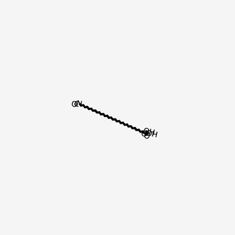 O=C=NCCCCCCCCCCCCCCCCCCCCCCCCCCCCCCCCOP(=O)(O)O